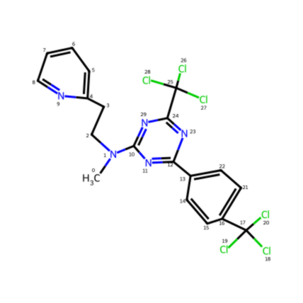 CN(CCc1ccccn1)c1nc(-c2ccc(C(Cl)(Cl)Cl)cc2)nc(C(Cl)(Cl)Cl)n1